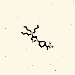 CCC[CH2][Sn]([CH2]CCC)([CH2]CCC)[c]1cnn(-c2ccc(C(C)[SH](=O)=O)cc2)c1